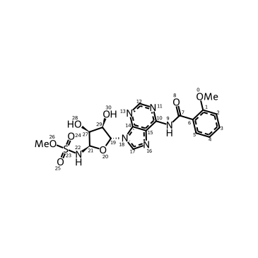 COc1ccccc1C(=O)Nc1ncnc2c1ncn2[C@@H]1O[C@@H](NS(=O)(=O)OC)[C@@H](O)[C@H]1O